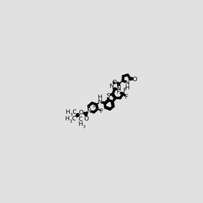 CC(C)(C)OC(=O)N1CC[C@@H](Nc2cccc3c(CC(F)(F)F)c(-c4noc([C@H]5CCC(=O)N5)n4)sc23)[C@@H](F)C1